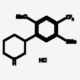 COc1cc(C(F)(F)F)c(SC)cc1C1CCCNC1.Cl